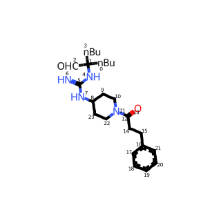 CCCCC(C=O)(CCCC)NC(=N)NC1CCN(C(=O)CCc2ccccc2)CC1